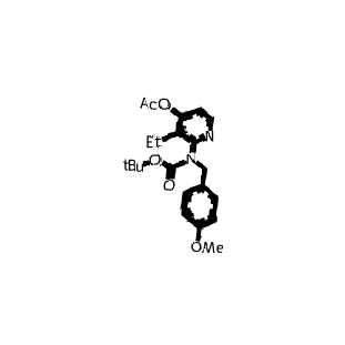 CCc1c(OC(C)=O)ccnc1N(Cc1ccc(OC)cc1)C(=O)OC(C)(C)C